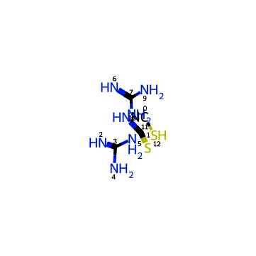 N#CS.N=C(N)N.N=C(N)N.N=C=S